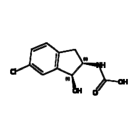 O=C(O)N[C@@H]1Cc2ccc(Cl)cc2[C@@H]1O